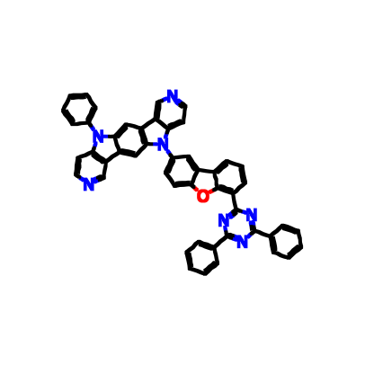 c1ccc(-c2nc(-c3ccccc3)nc(-c3cccc4c3oc3ccc(-n5c6ccncc6c6cc7c(cc65)c5cnccc5n7-c5ccccc5)cc34)n2)cc1